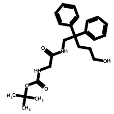 CC(C)(C)OC(=O)NCC(=O)NCC(CCCO)(c1ccccc1)c1ccccc1